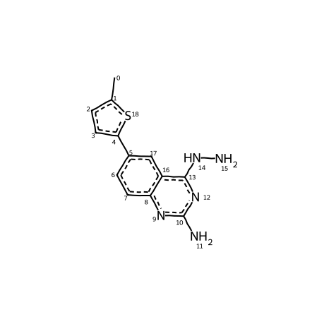 Cc1ccc(-c2ccc3nc(N)nc(NN)c3c2)s1